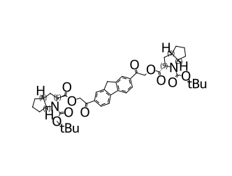 CC(C)(C)OC(=O)N1[C@@H]2CCC[C@@H]2C[C@H]1C(=O)OCC(=O)c1ccc2c(c1)Cc1cc(C(=O)COC(=O)[C@@H]3C[C@@H]4CCC[C@@H]4N3C(=O)OC(C)(C)C)ccc1-2